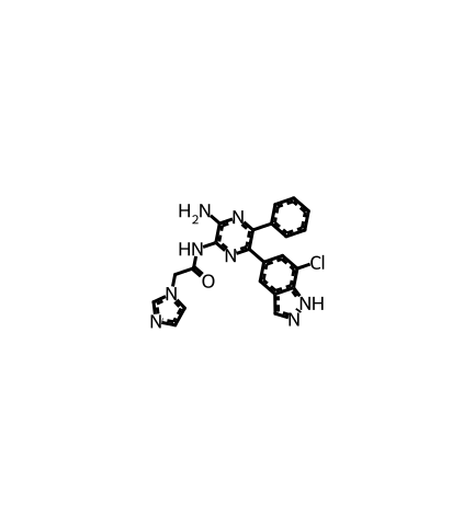 Nc1nc(-c2ccccc2)c(-c2cc(Cl)c3[nH]ncc3c2)nc1NC(=O)Cn1ccnc1